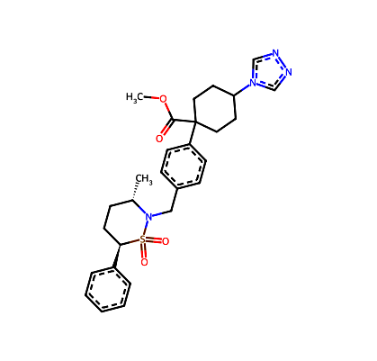 COC(=O)C1(c2ccc(CN3[C@@H](C)CC[C@H](c4ccccc4)S3(=O)=O)cc2)CCC(n2cnnc2)CC1